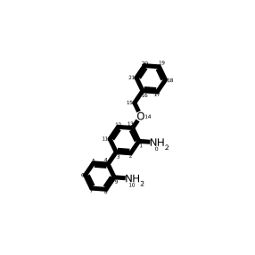 Nc1cc(-c2ccccc2N)ccc1OCc1ccccc1